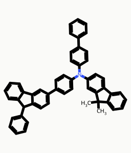 CC1(C)c2ccccc2-c2ccc(N(c3ccc(-c4ccccc4)cc3)c3ccc(-c4ccc5c(c4)-c4ccccc4C5c4ccccc4)cc3)cc21